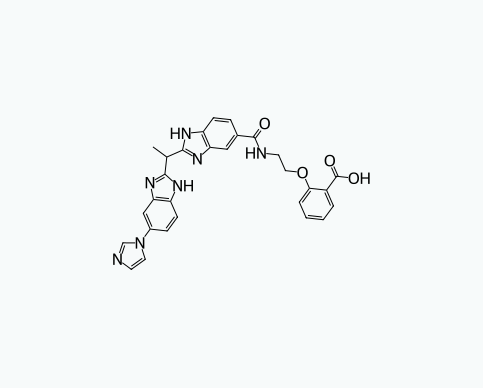 CC(c1nc2cc(C(=O)NCCOc3ccccc3C(=O)O)ccc2[nH]1)c1nc2cc(-n3ccnc3)ccc2[nH]1